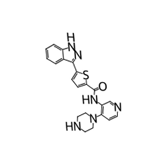 O=C(Nc1cnccc1N1CCNCC1)c1ccc(-c2n[nH]c3ccccc23)s1